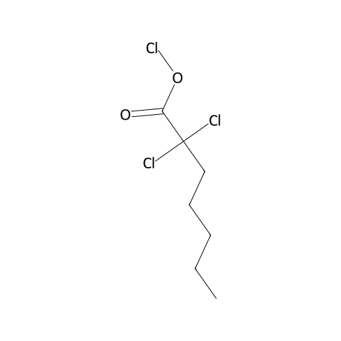 CCCCCC(Cl)(Cl)C(=O)OCl